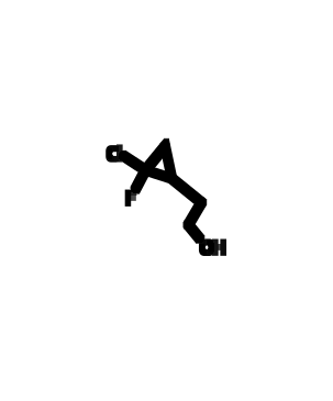 OCCC1CC1(F)Cl